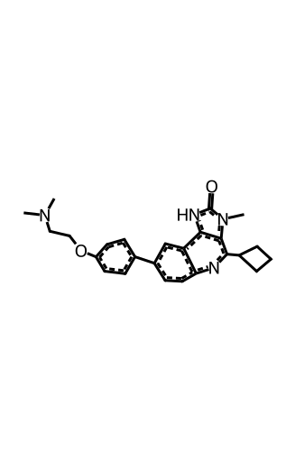 CN(C)CCOc1ccc(-c2ccc3nc(C4CCC4)c4c([nH]c(=O)n4C)c3c2)cc1